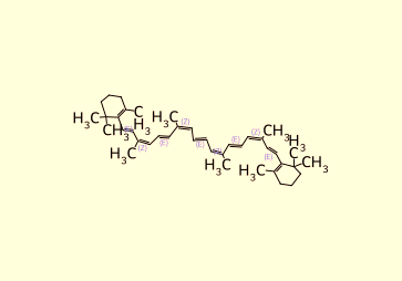 CC1=C(/C=C/C(C)=C\C=C\C(C)=C/C=C/C=C(C)\C=C\C=C(C)/C=C/C2=C(C)CCCC2(C)C)C(C)(C)CCC1